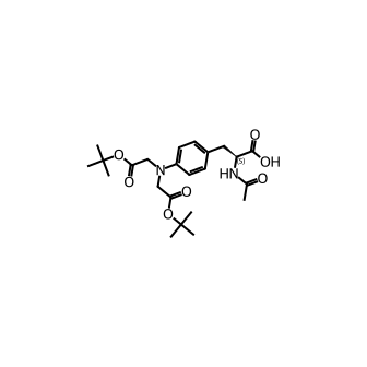 CC(=O)N[C@@H](Cc1ccc(N(CC(=O)OC(C)(C)C)CC(=O)OC(C)(C)C)cc1)C(=O)O